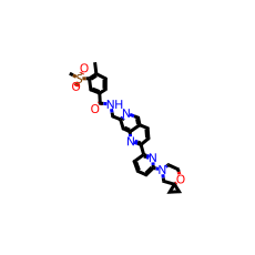 Cc1ccc(C(=O)NCc2cc3nc(-c4cccc(N5CCOC6(CC6)C5)n4)ccc3cn2)cc1S(C)(=O)=O